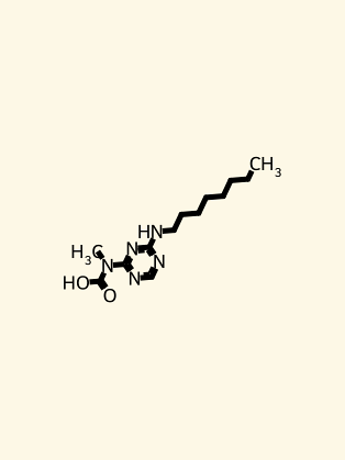 CCCCCCCCNc1ncnc(N(C)C(=O)O)n1